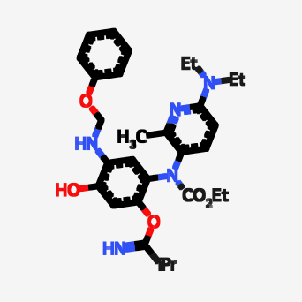 CCOC(=O)N(c1cc(NCOc2ccccc2)c(O)cc1OC(=N)C(C)C)c1ccc(N(CC)CC)nc1C